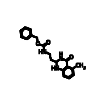 Cc1cccc2c1C(=O)NC(CCNC(=O)OCc1ccccc1)N2